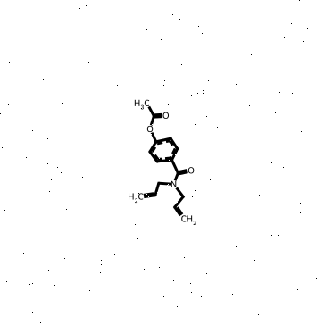 C=CCN(CC=C)C(=O)c1ccc(OC(C)=O)cc1